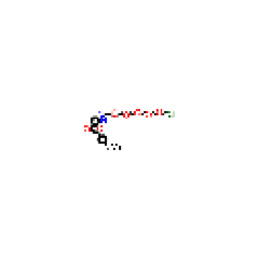 CNc1ccc(-c2cc(=O)c3ccc4[nH]c(CCOCCOCCOCCOCCOCCCl)nc4c3o2)cc1